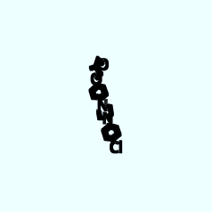 CC1(COc2ccc(N3CCN(c4ccc(Cl)cc4)CC3)cc2)CO1